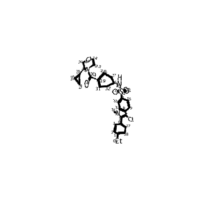 CCc1ccc(-c2c(Cl)c3ccc(S(=O)(=O)N[C@H]4CC[C@H](C(=O)N5CCOC[C@@H]5C5CC5)CC4)cc3n2C)cc1